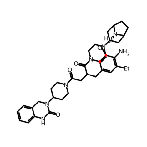 CCc1cc(C[C@@H](CC(=O)N2CCC(N3Cc4ccccc4NC3=O)CC2)C(=O)N2CCN(C3CC4CCC(C3)N4C)CC2)cc(Cl)c1N